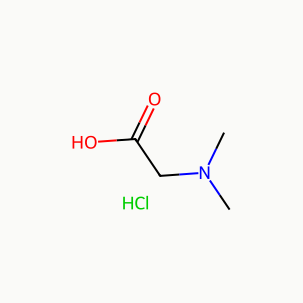 CN(C)CC(=O)O.Cl